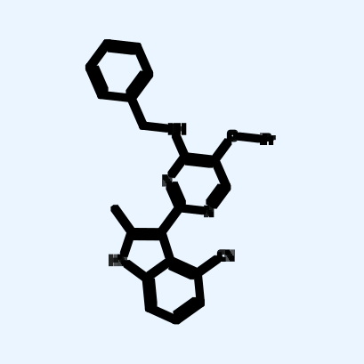 Cc1[nH]c2cccc(C#N)c2c1-c1ncc(OC(C)C)c(NCc2ccccc2)n1